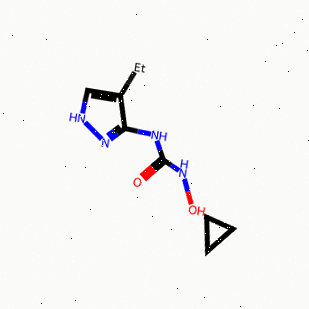 C1CC1.CCc1c[nH]nc1NC(=O)NO